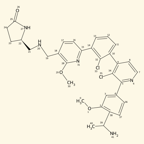 COc1cc(-c2nccc(-c3cccc(-c4ccc(CNC[C@H]5CCC(=O)N5)c(OC)n4)c3Cl)c2Cl)ccc1C(C)N